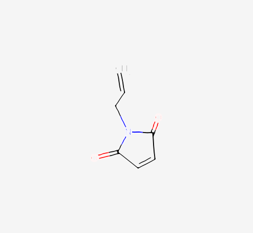 C=CCN1C(=O)C=CC1=O